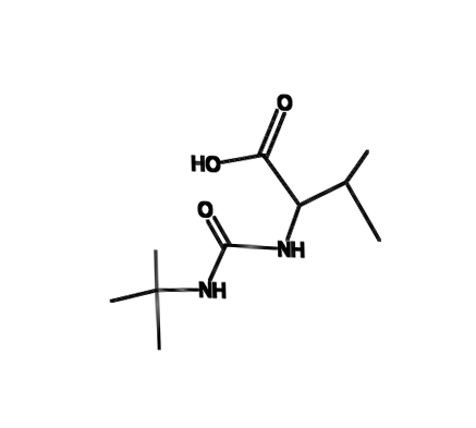 CC(C)C(NC(=O)NC(C)(C)C)C(=O)O